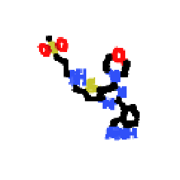 CS(=O)(=O)CCCNCc1cc2nc(-c3cccc4[nH]ncc34)nc(N3CCOCC3)c2s1